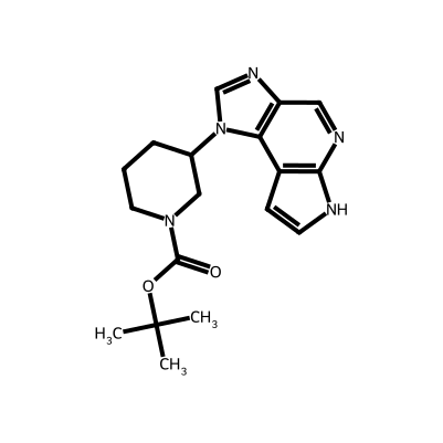 CC(C)(C)OC(=O)N1CCCC(n2cnc3cnc4[nH]ccc4c32)C1